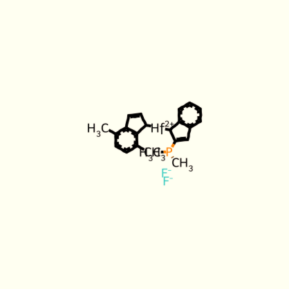 Cc1ccc(C)c2c1C=C[CH]2[Hf+2][CH]1C(P(C)C)=Cc2ccccc21.[F-].[F-]